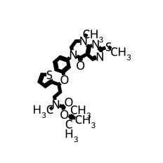 CSc1ncc2c(n1)N(C)CCN(c1cccc(OC(CCN(C)C(=O)OC(C)(C)C)c3cccs3)c1)C2=O